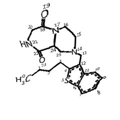 CCCCc1sc2ccccc2c1CN1CCN2C(=O)CNC(=O)C2C1